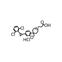 Cl.O=C(O)CCN1CCC2(CC1)COc1cc(C3CC3c3c(Cl)cccc3Cl)ccc12